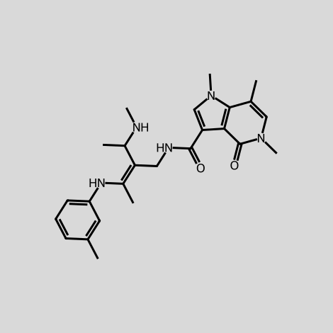 CNC(C)/C(CNC(=O)c1cn(C)c2c(C)cn(C)c(=O)c12)=C(/C)Nc1cccc(C)c1